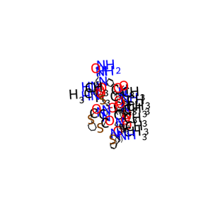 CC[C@H](C)[C@@H]([C@@H](CC(=O)N1CCC[C@H]1[C@H](OC)[C@@H](C)C(=O)N[C@@H](Cc1ccccc1)c1nccs1)OC)N(C)C(=O)[C@@H](NC(=O)[C@H](C(C)C)N(C)C(=O)OCc1ccc(NC(=O)[C@H](CCCNC(N)=O)NC(=O)[C@@H](NC(=O)CSCCC(=O)N2CN3CN(C2)C(=O)CCSC2CCCCC(C2)SCCC3=O)C(C)C)cc1)C(C)C